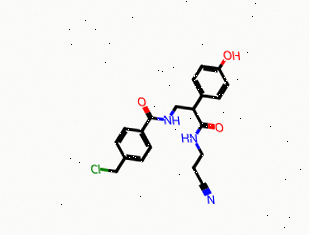 N#CCCNC(=O)C(CNC(=O)c1ccc(CCl)cc1)c1ccc(O)cc1